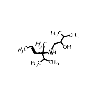 CC=CC(C)(NCC(O)C(C)C)C(C)C